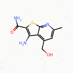 Cc1cc(CO)c2c(N)c(C(N)=O)sc2n1